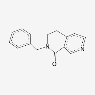 O=C1c2cnccc2CCN1Cc1ccccc1